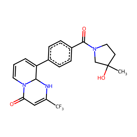 CC1(O)CCN(C(=O)c2ccc(C3=CC=CN4C(=O)C=C(C(F)(F)F)NC34)cc2)C1